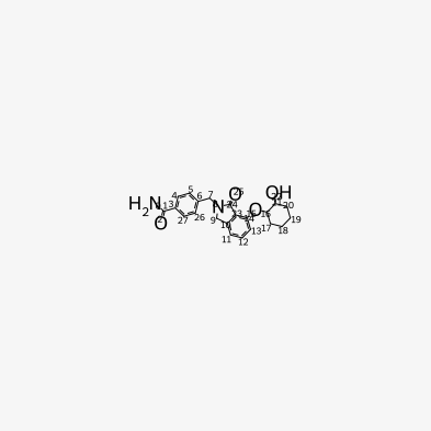 NC(=O)c1ccc(CN2Cc3cccc(OC4CCCCC4O)c3C2=O)cc1